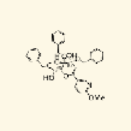 COc1ccc(C2=C[C@](O)(OCc3ccccc3)[C@@](O)(OCc3ccccc3)[C@@H](C(O)OCc3ccccc3)O2)cn1